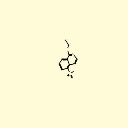 CCOc1nccc2c(S(=O)(=O)Cl)cccc12